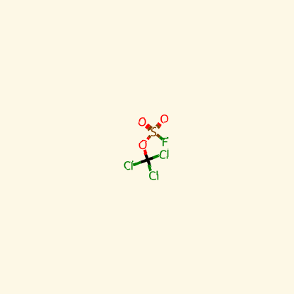 O=S(=O)(F)OC(Cl)(Cl)Cl